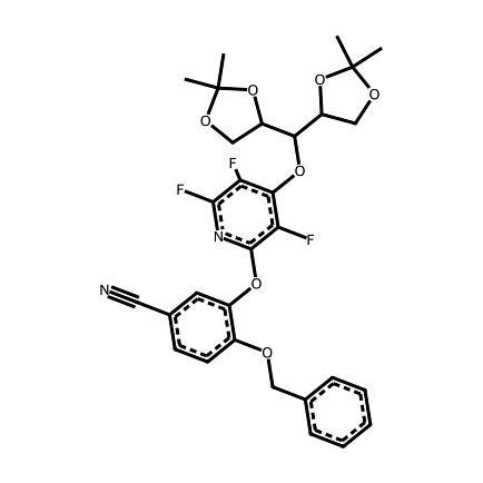 CC1(C)OCC(C(Oc2c(F)c(F)nc(Oc3cc(C#N)ccc3OCc3ccccc3)c2F)C2COC(C)(C)O2)O1